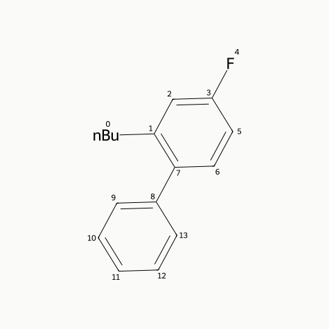 CCCCc1cc(F)ccc1-c1ccccc1